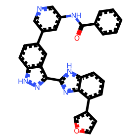 O=C(Nc1cncc(-c2ccc3[nH]nc(-c4nc5c(-c6ccoc6)cccc5[nH]4)c3c2)c1)c1ccccc1